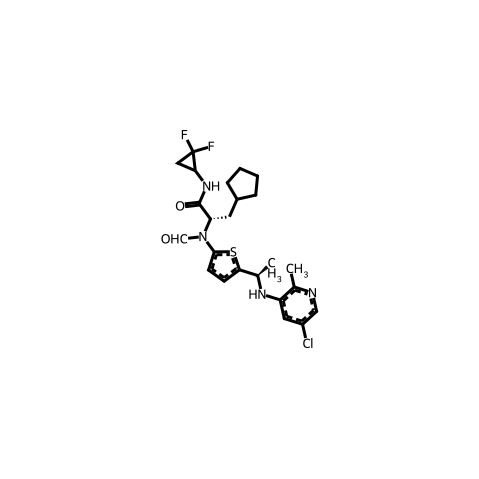 Cc1ncc(Cl)cc1N[C@H](C)c1ccc(N(C=O)[C@@H](CC2CCCC2)C(=O)NC2CC2(F)F)s1